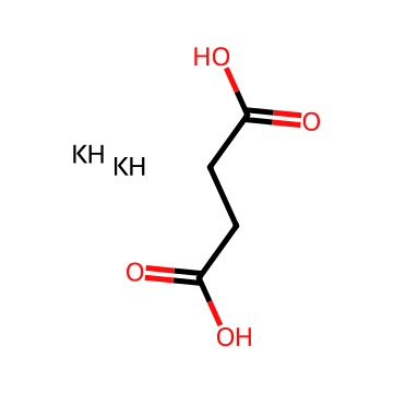 O=C(O)CCC(=O)O.[KH].[KH]